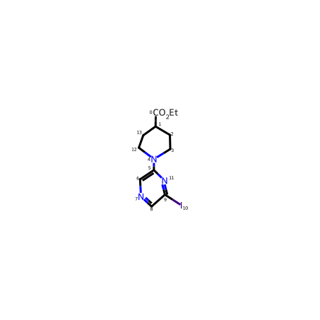 CCOC(=O)C1CCN(c2cncc(I)n2)CC1